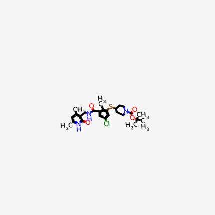 Cc1cc(C)c(CNC(=O)c2cc(Cl)cc(SC3CCN(C(=O)OC(C)(C)C)CC3)c2C)c(=O)[nH]1